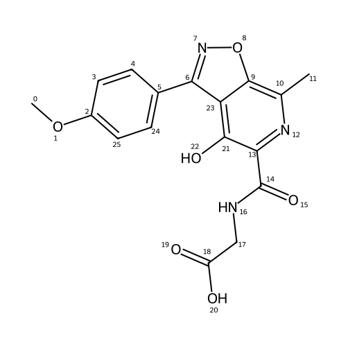 COc1ccc(-c2noc3c(C)nc(C(=O)NCC(=O)O)c(O)c23)cc1